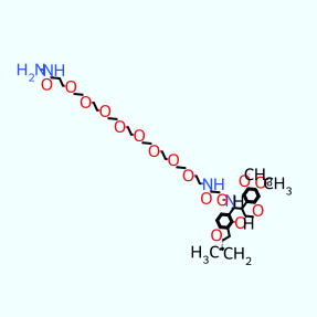 C=C(C)[C@H]1Cc2c(ccc3c2O[C@@H]2COc4cc(OC)c(OC)cc4[C@@H]2/C3=N/OCC(=O)NCCOCCOCCOCCOCCOCCOCCOCCOCCC(=O)NN)O1